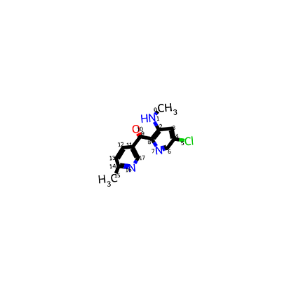 CNc1cc(Cl)cnc1C(=O)c1ccc(C)nc1